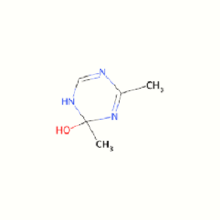 CC1=NC(C)(O)NC=N1